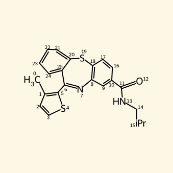 Cc1ccsc1C1=Nc2cc(C(=O)NCC(C)C)ccc2Sc2ccccc21